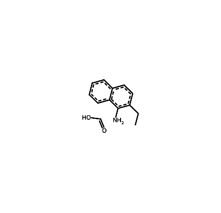 CCc1ccc2ccccc2c1N.O=CO